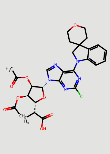 CC(=O)O[C@@H]1[C@H](OC(C)=O)[C@@H](C(C)C(=O)O)O[C@H]1n1cnc2c(N3CC4(CCOCC4)c4ccccc43)nc(Cl)nc21